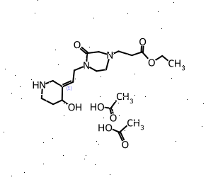 CC(=O)O.CC(=O)O.CCOC(=O)CCN1CCN(C/C=C2\CNCCC2O)C(=O)C1